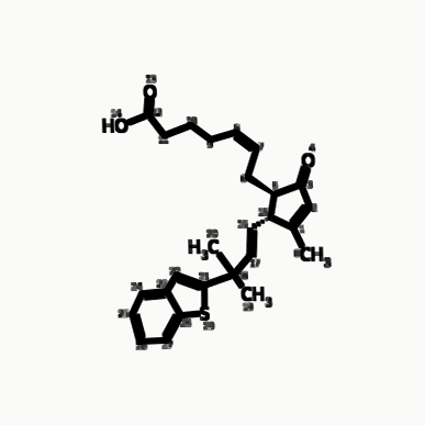 CC1=CC(=O)[C@H](C/C=C\CCCC(=O)O)[C@H]1/C=C/C(C)(C)c1cc2ccccc2s1